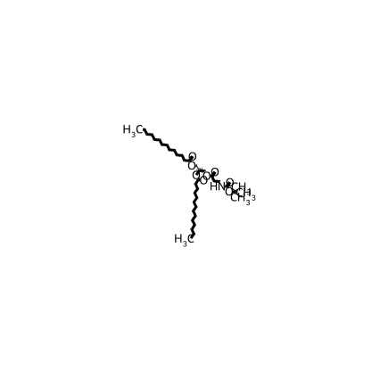 CCCCCCCCCCCCCC(=O)OC[C@H](COC(=O)CCNC(=O)OC(C)(C)C)OC(=O)CCCCCCCCCCCCC